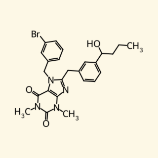 CCCC(O)c1cccc(Cc2nc3c(c(=O)n(C)c(=O)n3C)n2Cc2cccc(Br)c2)c1